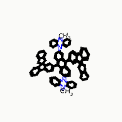 CN1c2ccccc2N(c2ccc3c(-c4ccc5c(c4)C4(Cc6ccccc6C4)c4ccccc4-5)c4cc(N5c6ccccc6N(C)c6ccccc65)ccc4c(-c4ccc5c(c4)C4(Cc6ccccc6C4)c4ccccc4-5)c3c2)c2ccccc21